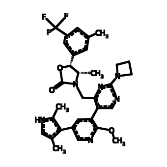 COc1ncc(-c2c(C)c[nH]c2C)cc1-c1cnc(N2CCC2)nc1CN1C(=O)O[C@H](c2cc(C)cc(C(F)(F)F)c2)[C@@H]1C